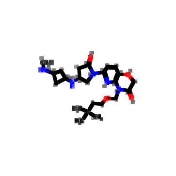 C[Si](C)(C)CCOCN1C(=O)COc2ccc(N3C[C@H](NC4CC(NC(=O)O)C4)CC3=O)nc21